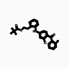 Cc1ccccc1C(=O)c1ccc(Nc2ccccc2CCOC(=O)C(C)(C)C)cc1Cl